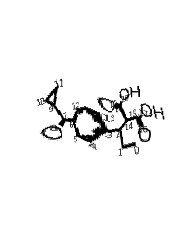 CCC(c1ccc(C(=O)C2CC2)cc1)C(C(=O)O)C(=O)O